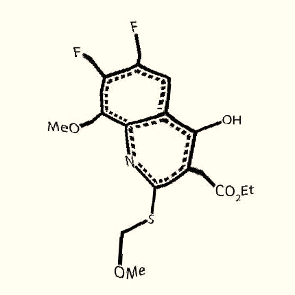 CCOC(=O)c1c(SCOC)nc2c(OC)c(F)c(F)cc2c1O